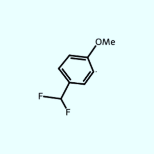 COc1[c]cc(C(F)F)cc1